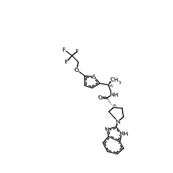 C[C@@H](NC(=O)[C@@H]1CCN(c2nc3ccccc3[nH]2)C1)c1ccc(OCC(F)(F)F)s1